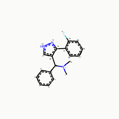 CN(C)C(c1ccccc1)c1c[nH]nc1-c1ccccc1F